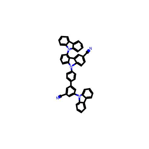 N#Cc1cc(-c2ccc(-n3c4ccc(C#N)cc4c4c(-n5c6ccccc6c6ccccc65)cccc43)cc2)cc(-n2c3ccccc3c3ccccc32)c1